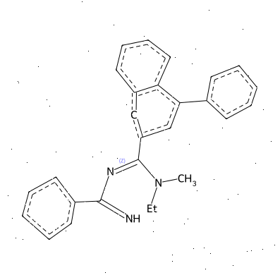 CCN(C)/C(=N\C(=N)c1ccccc1)c1cc(-c2ccccc2)c2ccccc2c1